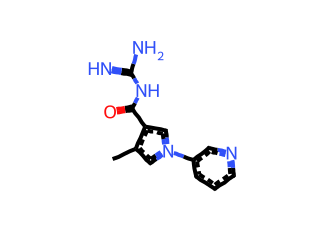 Cc1cn(-c2cccnc2)cc1C(=O)NC(=N)N